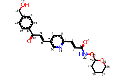 O=C(C=Cc1ccc(C=CC(=O)c2ccc(CO)cc2)cn1)NOC1CCCCO1